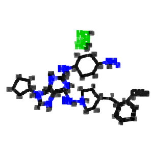 COc1ccccc1CC1CCN(Nc2nc(NC3CCC(N)CC3)nc3c2ncn3C2CCCC2)CC1.Cl.Cl.Cl